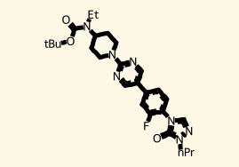 CCCn1ncn(-c2ccc(-c3cnc(N4CCC(N(CC)C(=O)OC(C)(C)C)CC4)nc3)cc2F)c1=O